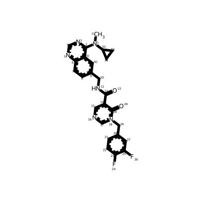 CN(c1ncnc2ccc(CNC(=O)c3cncn(Cc4ccc(F)c(F)c4)c3=O)cc12)C1CC1